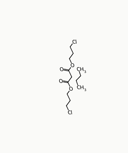 CCCC.O=C(CC(=O)OCCCCl)OCCCCl